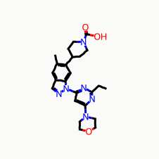 CCc1nc(N2CCOCC2)cc(-n2ncc3cc(C)c(C4CCN(C(=O)O)CC4)cc32)n1